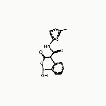 Cc1cnc(NC(=O)C2C(=O)OB(O)c3ccccc32)s1